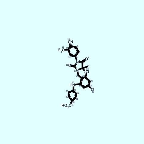 CC1(C)C(=O)N(c2ccc(C#N)c(C(F)(F)F)c2)C(=O)N1Cc1c(Cl)cc(Cl)cc1Nc1ccc(C(=O)O)cc1